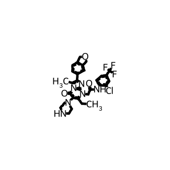 CCc1c(N2CCNCC2)c(=O)n2c(C)c(-c3ccc4c(c3)COC4)nc2n1CC(=O)Nc1ccc(C(F)(F)F)cc1Cl